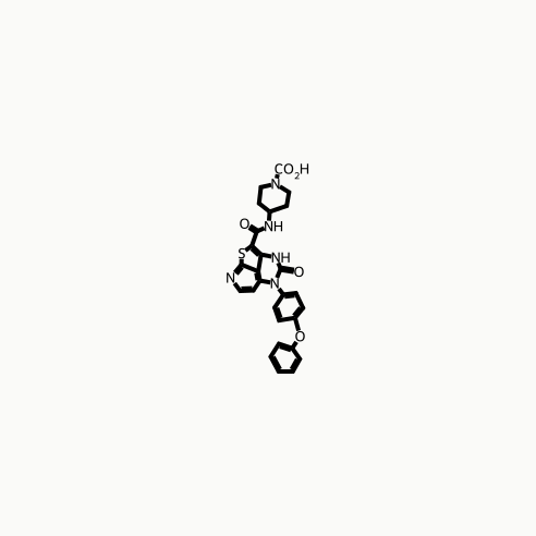 O=C(NC1CCN(C(=O)O)CC1)c1sc2nccc3c2c1NC(=O)N3c1ccc(Oc2ccccc2)cc1